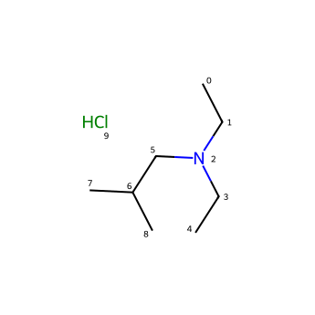 CCN(CC)CC(C)C.Cl